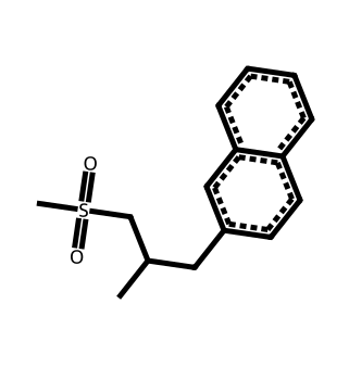 CC(Cc1ccc2ccccc2c1)CS(C)(=O)=O